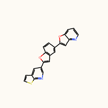 c1cnc2cc(-c3ccc4oc(-c5cnc6sccc6c5)cc4c3)oc2c1